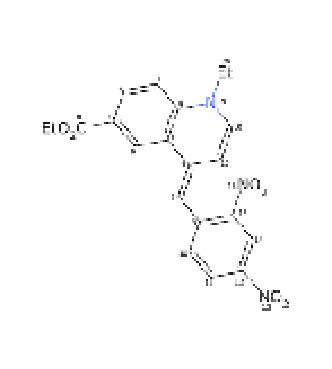 CCOC(=O)c1ccc2c(c1)C(=Cc1ccc([N+](=O)[O-])cc1[N+](=O)[O-])C=CN2CC